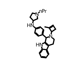 CCCN1CCC(Nc2ccc(C3c4[nH]c5ccccc5c4CCN3C3CC=C3C)cc2)C1